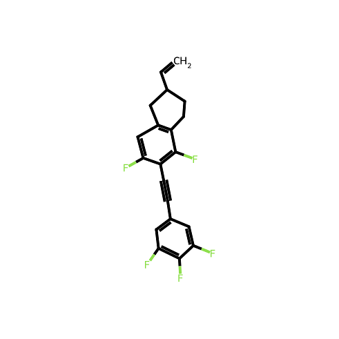 C=CC1CCc2c(cc(F)c(C#Cc3cc(F)c(F)c(F)c3)c2F)C1